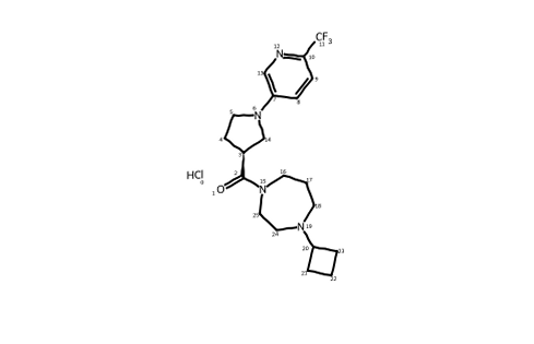 Cl.O=C([C@H]1CCN(c2ccc(C(F)(F)F)nc2)C1)N1CCCN(C2CCC2)CC1